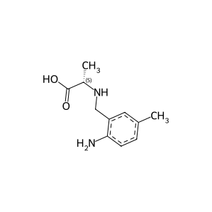 Cc1ccc(N)c(CN[C@@H](C)C(=O)O)c1